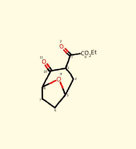 CCOC(=O)C(=O)C1CC2CCC(O2)C1=O